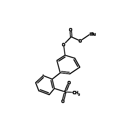 CC(C)(C)OC(=O)Oc1cccc(-c2[c]cccc2S(C)(=O)=O)c1